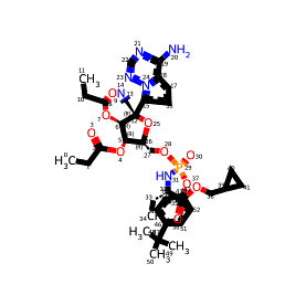 CCC(=O)O[C@H]1[C@@H](OC(=O)CC)[C@](C#N)(c2ccc3c(N)ncnn23)O[C@@H]1COP(=O)(N[C@@H](CC)C(=O)OCC1CC1)Oc1ccc(C(C)(C)C)cc1